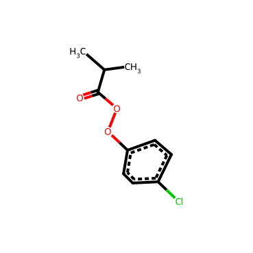 CC(C)C(=O)OOc1ccc(Cl)cc1